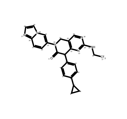 O=C1C(c2ccc(C3CC3)cc2)c2nc(NCC(F)(F)F)ncc2CN1c1ccc2nccn2c1